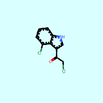 O=C(CCl)c1c[nH]c2cccc(Cl)c12